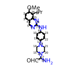 COc1ccc2cnc(Nc3ccc(N4CCN(C(N)C=O)CC4)cc3)nc2c1C(C)C